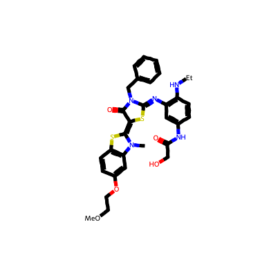 CCNc1ccc(NC(=O)CO)cc1N=C1SC(=C2Sc3ccc(OCCOC)cc3N2C)C(=O)N1Cc1ccccc1